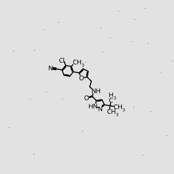 Cc1c(-c2ccc(CCNC(=O)c3cc(C(C)(C)C)n[nH]3)o2)ccc(C#N)c1Cl